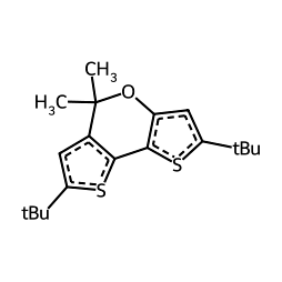 CC(C)(C)c1cc2c(s1)-c1sc(C(C)(C)C)cc1C(C)(C)O2